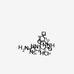 Cc1c2c(c(=O)n3c1C(=O)NC3(C)c1cccc(Cl)c1)Nc1cc(N)ncc1C2.Cl